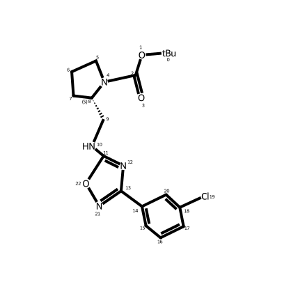 CC(C)(C)OC(=O)N1CCC[C@H]1CNc1nc(-c2cccc(Cl)c2)no1